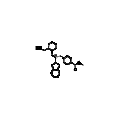 COC(=O)c1ccc(C[C@@H](Cc2ccccc2CO)C2=Cc3ccccc3C2)cc1